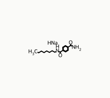 CCCCCCCCNC(=O)c1ccc(C(N)=O)cc1.[NaH]